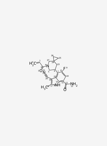 C=CC(=O)N1CC(c2c(F)cc(C(N)=O)c3[nH]c(C)c(C#N)c23)CC2(CC2)C1